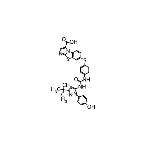 CC(C)(C)c1cc(NC(=O)Nc2ccc(Sc3ccc4c(c3)sc3ncc(C(=O)O)n34)cc2)n(-c2ccc(O)cc2)n1